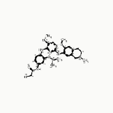 COc1cc2c(cc1Nc1ncc(Cl)c(Nc3ccc(NC(=O)CCl)cc3OP(C)C)n1)CN(C)CC2.P